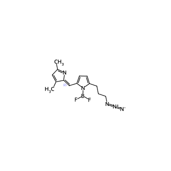 CC1=CC(C)=N/C1=C\c1ccc(CCCN=[N+]=[N-])n1B(F)F